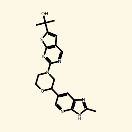 Cc1nc2cc(C3CN(c4ncc5cc(C(C)(C)O)sc5n4)CCO3)cnc2[nH]1